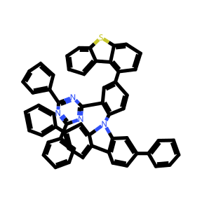 c1ccc(-c2ccc3c4ccc(-c5ccccc5)cc4n(-c4ccc(-c5cccc6sc7ccccc7c56)cc4-c4nc(-c5ccccc5)nc(-c5ccccc5)n4)c3c2)cc1